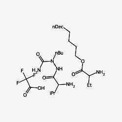 CCCCCCCCCCCCCCOC(=O)C(N)CC.CCCCN(NC(=O)C(N)C(C)C)C(N)=O.O=C(O)C(F)(F)F